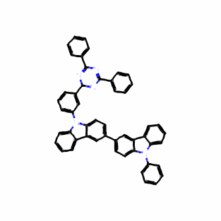 c1ccc(C2=NC(c3cccc(-n4c5ccccc5c5cc(-c6ccc7c(c6)c6ccccc6n7-c6ccccc6)ccc54)c3)NC(c3ccccc3)=N2)cc1